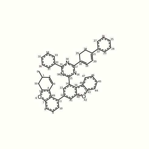 CC1C=Cc2c(oc3cccc(-c4cc(-c5nc(C6=CC=C(c7ccccc7)CC6)nc(-c6ccccc6)n5)c5c(c4)oc4ccccc45)c23)C1